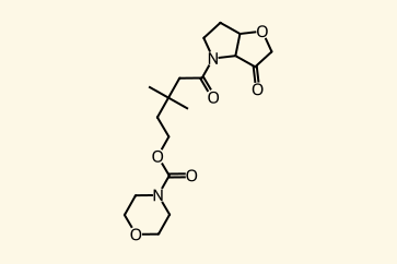 CC(C)(CCOC(=O)N1CCOCC1)CC(=O)N1CCC2OCC(=O)C21